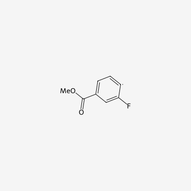 COC(=O)c1cc[c]c(F)c1